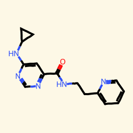 O=C(NCCc1ccccn1)c1cc(NC2CC2)ncn1